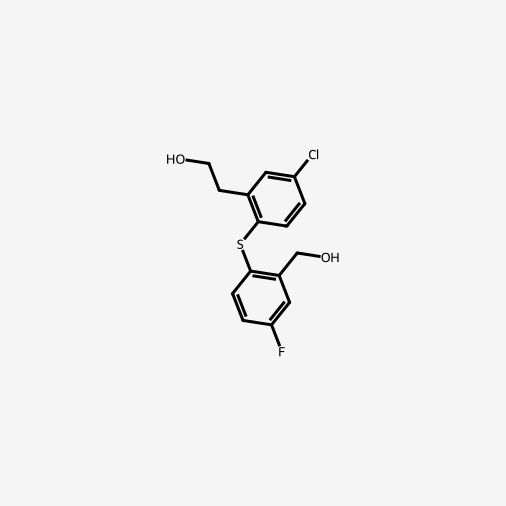 OCCc1cc(Cl)ccc1Sc1ccc(F)cc1CO